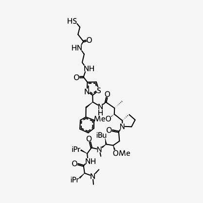 CC[C@H](C)[C@@H]([C@@H](CC(=O)N1CCC[C@H]1[C@H](OC)[C@@H](C)C(=O)N[C@@H](Cc1ccccc1)c1nc(C(=O)NCCNC(=O)CCS)cs1)OC)N(C)C(=O)[C@@H](NC(=O)[C@H](C(C)C)N(C)C)C(C)C